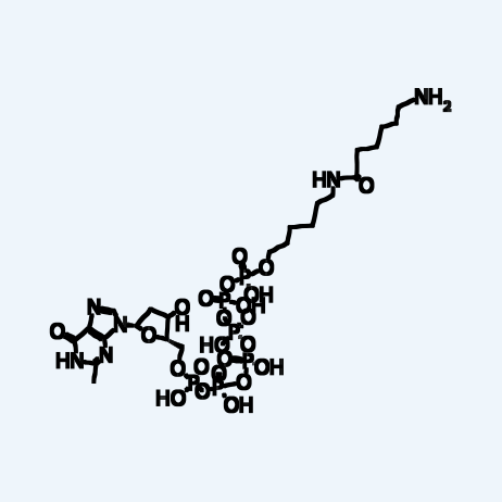 Cc1nc2c(ncn2[C@H]2CC(O)[C@@H](COP(=O)(O)OP(=O)(O)OP(=O)(O)OP(=O)(O)OP(=O)(O)OP(=O)(O)OCCCCCCNC(=O)CCCCCN)O2)c(=O)[nH]1